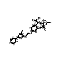 CCON1C2C(=O)C(=O)[C@@H]1C(C(=O)O)c1ccc(OCCc3nc(-c4ccccc4)oc3C)cc12